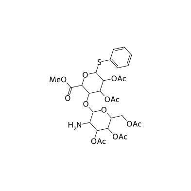 COC(=O)C1OC(Sc2ccccc2)C(OC(C)=O)C(OC(C)=O)C1OC1OC(COC(C)=O)C(OC(C)=O)C(OC(C)=O)C1N